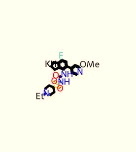 CCN1CCC(S(=O)(=O)NC(=O)Nc2c(-c3ccnc(OC)c3)cc(F)c3c2CCC3)CC1.[KH]